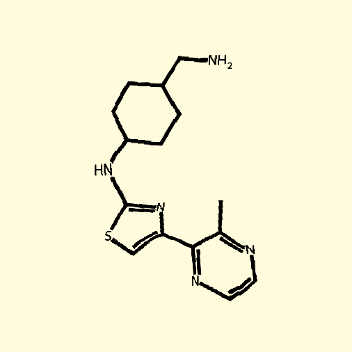 Cc1nccnc1-c1csc(NC2CCC(CN)CC2)n1